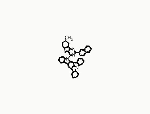 CC1C=Cc2sc3c(-n4c5ccccc5c5cc6c7ccccc7n7c8ccccc8c(c54)c67)nc(-c4ccc5ccccc5c4)nc3c2C1